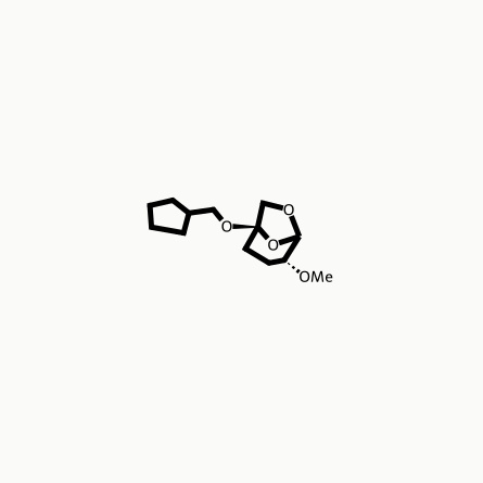 CO[C@@H]1CC[C@]2(OCC3CCCC3)COC1O2